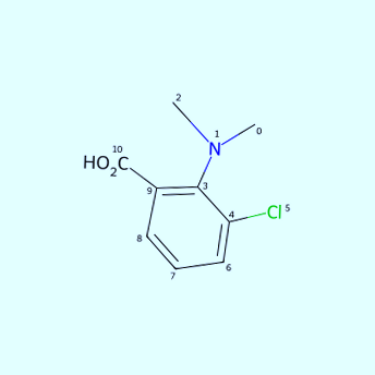 CN(C)c1c(Cl)cccc1C(=O)O